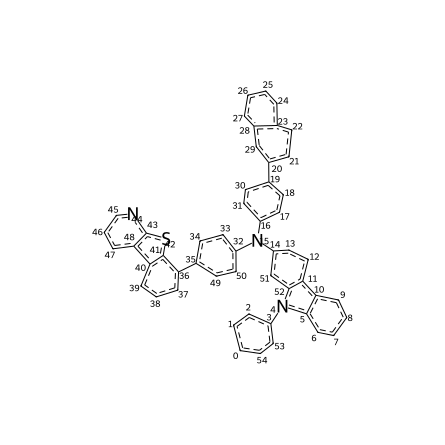 c1ccc(-n2c3ccccc3c3ccc(N(c4ccc(-c5ccc6ccccc6c5)cc4)c4ccc(-c5cccc6c5sc5ncccc56)cc4)cc32)cc1